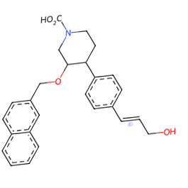 O=C(O)N1CCC(c2ccc(/C=C/CO)cc2)C(OCc2ccc3ccccc3c2)C1